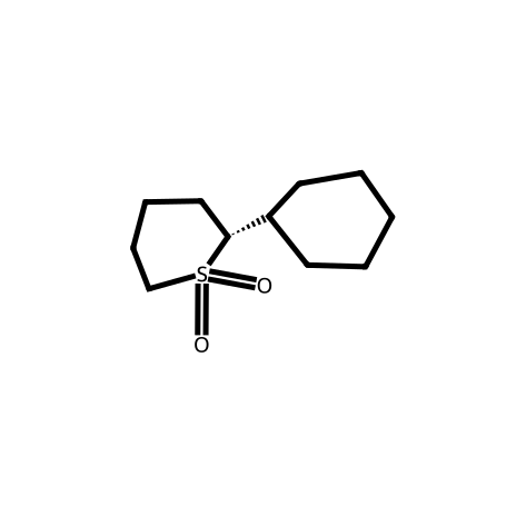 O=S1(=O)CCCC[C@@H]1C1CCCCC1